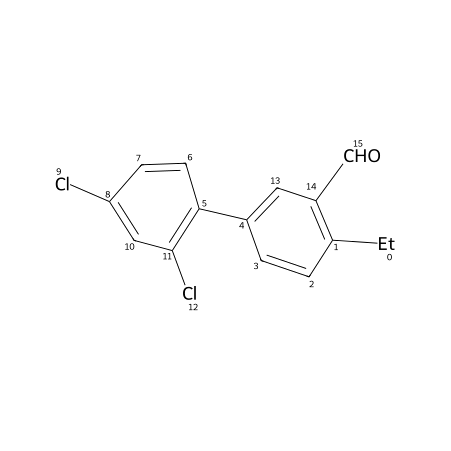 CCc1ccc(-c2ccc(Cl)cc2Cl)cc1C=O